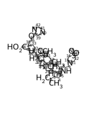 C=C(C)C1CC[C@]2(NCCN3CCS(=O)(=O)CC3)CC[C@]3(C)[C@H](CC[C@@H]4[C@@]5(C)CC=C(C6=CCC(CCOc7cnccn7)(C(=O)O)CC6)C(C)(C)[C@@H]5CC[C@]43C)[C@@H]12